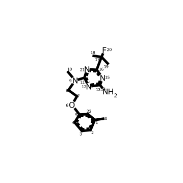 Cc1cccc(OCCN(C)c2nc(N)nc(C(C)(C)F)n2)c1